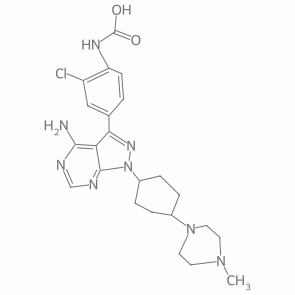 CN1CCN(C2CCC(n3nc(-c4ccc(NC(=O)O)c(Cl)c4)c4c(N)ncnc43)CC2)CC1